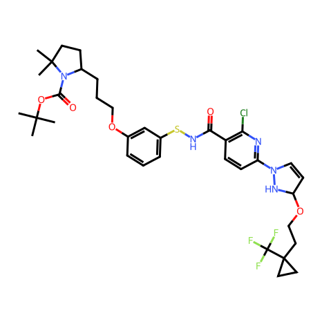 CC(C)(C)OC(=O)N1C(CCCOc2cccc(SNC(=O)c3ccc(N4C=CC(OCCC5(C(F)(F)F)CC5)N4)nc3Cl)c2)CCC1(C)C